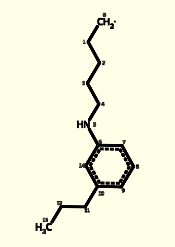 [CH2]CCCCNc1cccc(CCC)c1